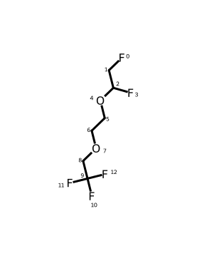 FCC(F)OCCOCC(F)(F)F